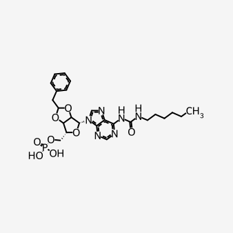 CCCCCCNC(=O)Nc1ncnc2c1ncn2[C@@H]1O[C@H](COP(=O)(O)O)C2OC(Cc3ccccc3)OC21